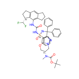 CN(C(=O)OC(C)(C)C)[C@@H]1COc2c([S@](=O)(=NC(c3ccccc3)(c3ccccc3)c3ccccc3)NC(=O)Nc3c4c(cc5c3[C@H](C(F)F)CC5)CCC4)cnn2C1